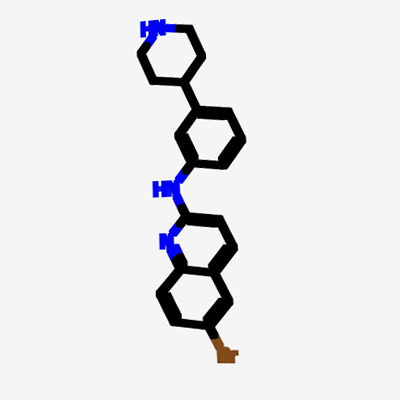 Brc1ccc2nc(Nc3cccc(C4CCNCC4)c3)ccc2c1